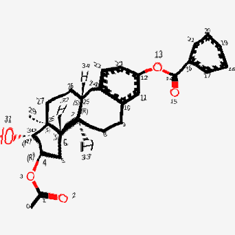 CC(=O)O[C@@H]1C[C@H]2[C@@H]3CCc4cc(OC(=O)c5ccccc5)ccc4[C@H]3CC[C@]2(C)[C@H]1O